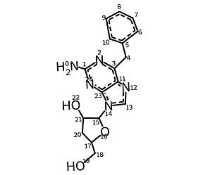 Nc1nc(Cc2ccccc2)c2ncn(C3OC(CO)CC3O)c2n1